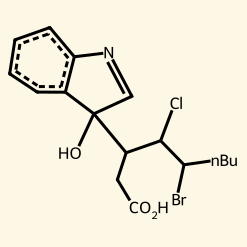 CCCCC(Br)C(Cl)C(CC(=O)O)C1(O)C=Nc2ccccc21